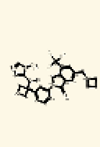 Cn1cnnc1[C@@H](F)C1(c2cccc(N3Cc4c(cc(CN5CCC5)cc4C(F)(F)F)C3=O)c2)COC1